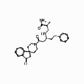 CC(CNC(CCc1ccccc1)CC(=O)N1CCC2(CC1)CC(=O)c1ccccc12)C(N)=O